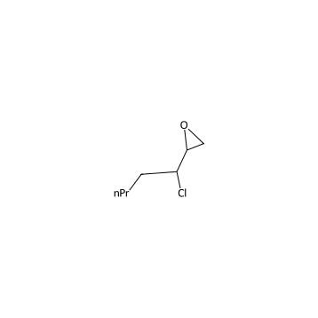 CCCCC(Cl)C1CO1